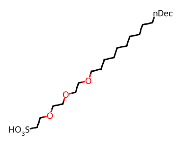 CCCCCCCCCCCCCCCCCCCCOCCOCCOCCS(=O)(=O)O